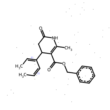 C/C=C\C(=C/C)C1CC(=O)NC(C)=C1C(=O)OCc1ccccc1